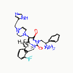 Cc1c(N2CCN(Cc3cnc[nH]3)CC2)c(=O)n(C[C@H](N)c2ccccc2)c(=O)n1Cc1c(F)cccc1C(F)(F)F